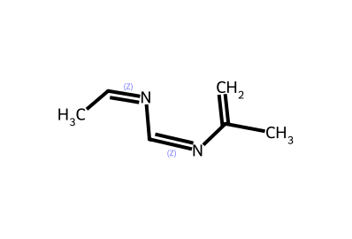 C=C(C)/N=C\N=C/C